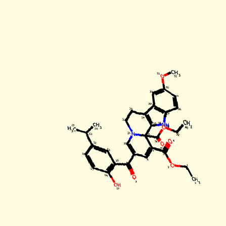 CCOC(=O)C1=CC(C(=O)c2cc(C(C)C)ccc2O)=CN2CCc3c([nH]c4ccc(OC)cc34)C12C(=O)OCC